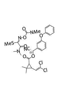 CC1(C)C(C=C(Cl)Cl)C1C(=O)O[C@H](C#N)c1cccc(Oc2ccccc2)c1.CNC(=O)ON=C(SC)C(=O)N(C)C